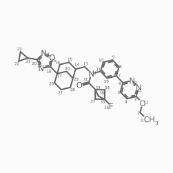 CCOc1ccc(-c2cccc(N(CC3CCC4(c5nc(C6CC6)no5)CCCC3C4)C(=O)C34CC(F)(C3)C4)c2)nn1